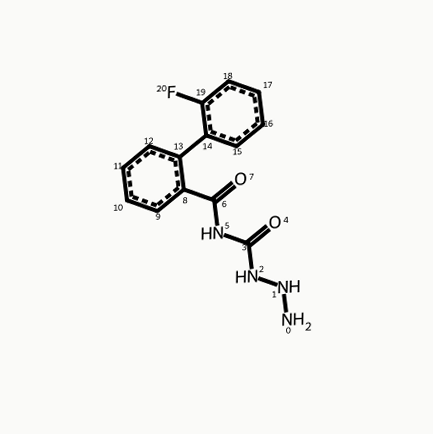 NNNC(=O)NC(=O)c1ccccc1-c1ccccc1F